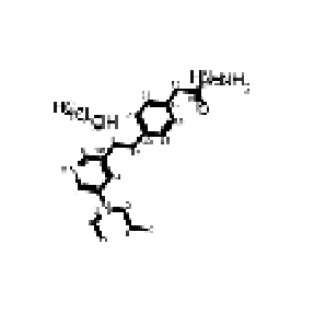 CCCN(CC)c1cncc(CCc2ccc(CC(=O)NN)cc2)c1.Cl.Cl.Cl